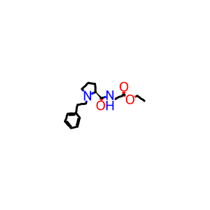 CCOC(=O)CNC(=O)[C@@H]1CCCN1CCc1ccccc1